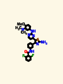 COc1ccc(Nc2nccc(-c3sc(N)nc3-c3cccc(NC(=O)c4c(F)cccc4F)c3)n2)cc1N(C)C